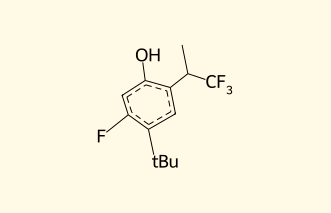 CC(c1cc(C(C)(C)C)c(F)cc1O)C(F)(F)F